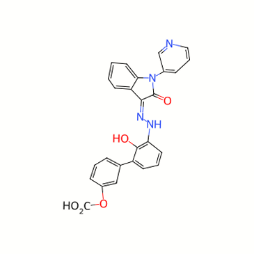 O=C(O)Oc1cccc(-c2cccc(NN=C3C(=O)N(c4cccnc4)c4ccccc43)c2O)c1